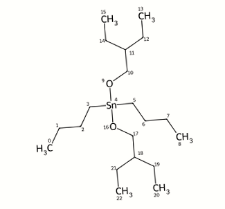 CCC[CH2][Sn]([CH2]CCC)([O]CC(CC)CC)[O]CC(CC)CC